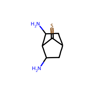 NC1CC2CC(N)C1C2=S